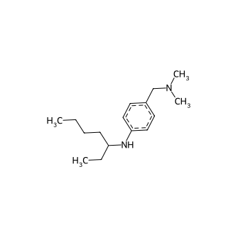 CCCCC(CC)Nc1ccc(CN(C)C)cc1